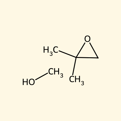 CC1(C)CO1.CO